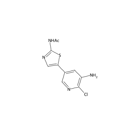 CC(=O)Nc1ncc(-c2cnc(Cl)c(N)c2)s1